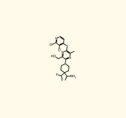 Cc1nc(N2CCC(C(C)N)(C(F)F)CC2)c(CO)nc1Sc1ccnc(Cl)c1Cl